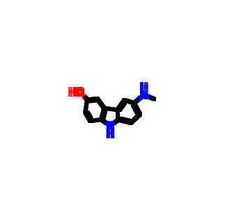 CNc1ccc2[nH]c3ccc(O)cc3c2c1